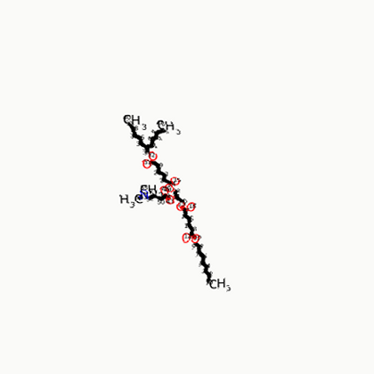 CCCCCCCCCCOC(=O)CCCCC(=O)OCC(COC(=O)CCCCC(=O)OCC(CCCCCC)CCCCCC)OC(=O)CCCN(C)C